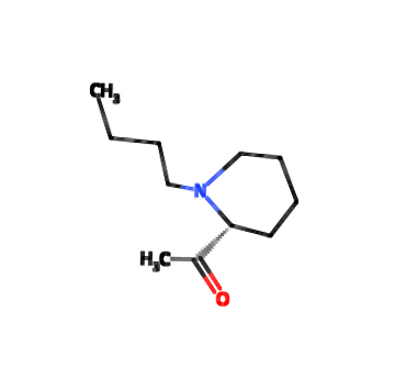 CCCCN1CCCC[C@@H]1C(C)=O